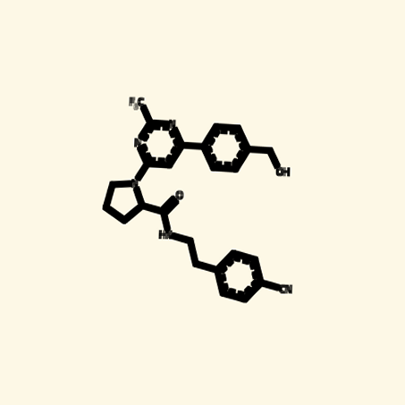 N#Cc1ccc(CCNC(=O)C2CCCN2c2cc(-c3ccc(CO)cc3)nc(C(F)(F)F)n2)cc1